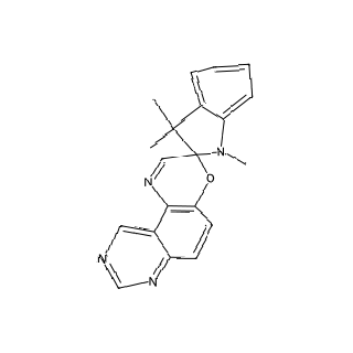 CN1c2ccccc2C(C)(C)C12C=Nc1c(ccc3ncncc13)O2